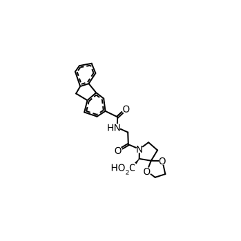 O=C(NCC(=O)N1CCC2(OCCO2)[C@H]1C(=O)O)c1ccc2c(c1)-c1ccccc1C2